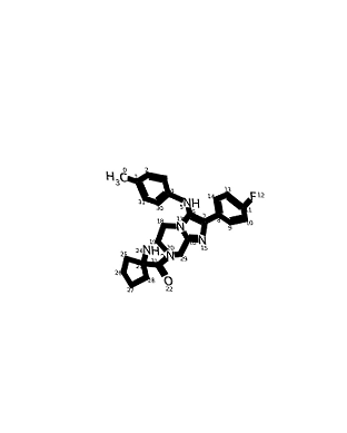 Cc1ccc(Nc2c(-c3ccc(F)cc3)nc3n2CCN(C(=O)C2(N)CCCC2)C3)cc1